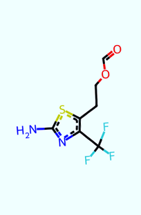 Nc1nc(C(F)(F)F)c(CCOC=O)s1